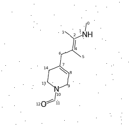 CN/C(C)=C(\C)CC1=CCN(C=O)CC1